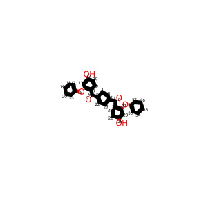 O=C(c1ccc(C(=O)c2ccc(O)cc2Oc2ccccc2)cc1)c1ccc(O)cc1Oc1ccccc1